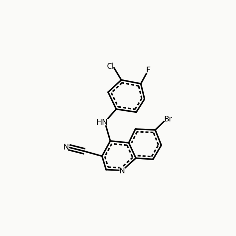 N#Cc1cnc2ccc(Br)cc2c1Nc1ccc(F)c(Cl)c1